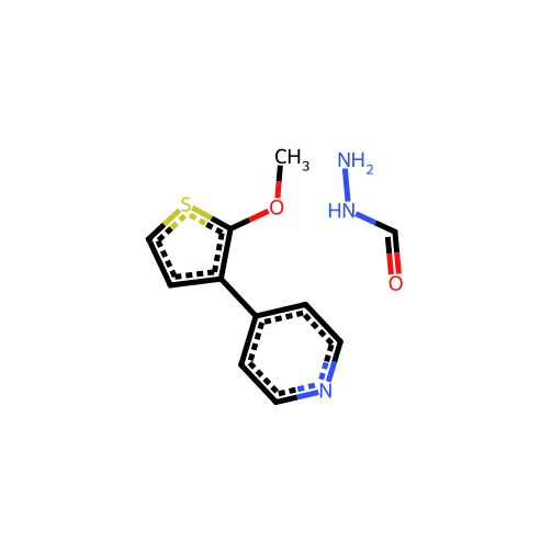 COc1sccc1-c1ccncc1.NNC=O